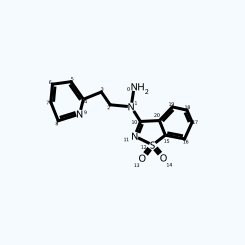 NN(CCc1ccccn1)C1=NS(=O)(=O)c2ccccc21